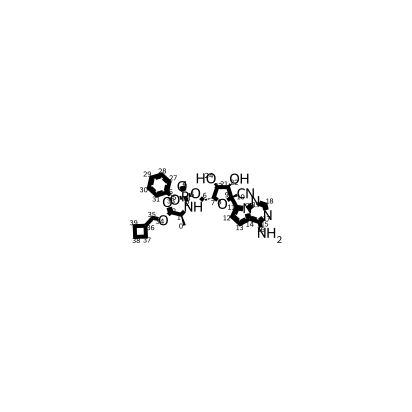 C[C@H](NP(=O)(OC[C@H]1O[C@@](C#N)(c2ccc3c(N)ncnn23)[C@H](O)[C@@H]1O)Oc1ccccc1)C(=O)OCC1CCC1